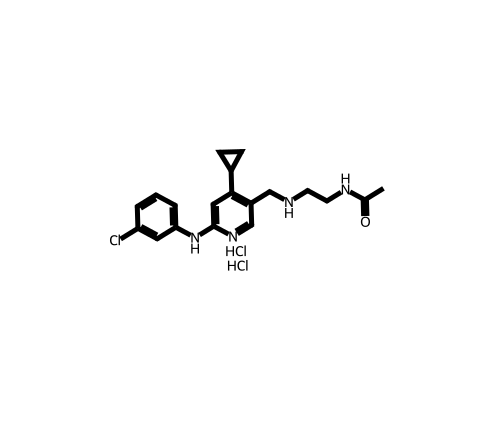 CC(=O)NCCNCc1cnc(Nc2cccc(Cl)c2)cc1C1CC1.Cl.Cl